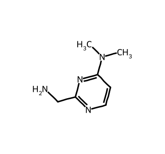 CN(C)c1ccnc(CN)n1